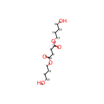 O=C(CCC(=O)OCCCCO)OCCCCO